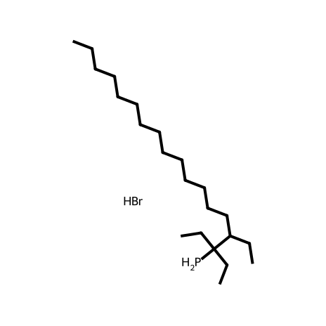 Br.CCCCCCCCCCCCCCC(CC)C(P)(CC)CC